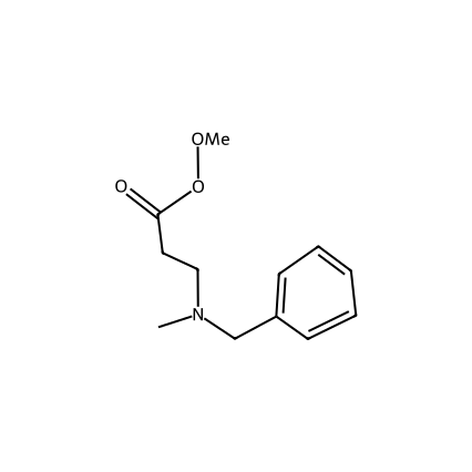 COOC(=O)CCN(C)Cc1ccccc1